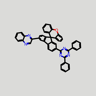 c1ccc(-c2nc(-c3ccccc3)nc(-c3ccc4c(c3)C3(c5ccccc5Oc5ccccc53)c3ccc(-c5cnc6ccccc6n5)cc3-4)n2)cc1